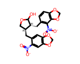 O=[N+]([O-])c1cc2c(cc1C[C@H]1COC(O)[C@@H]1Cc1ccc3c(c1[N+](=O)[O-])OCO3)OCO2